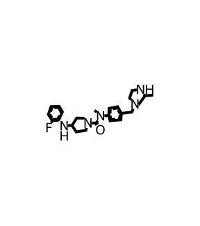 CC1CN(Cc2ccc(N(C)C(=O)N3CCC(Nc4ccccc4F)CC3)cc2)CCN1